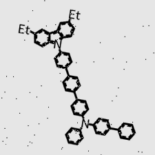 CCc1ccc2c(c1)c1cc(CC)ccc1n2-c1ccc(-c2ccc(-c3ccc(N(c4ccccc4)c4ccc(-c5ccccc5)cc4)cc3)cc2)cc1